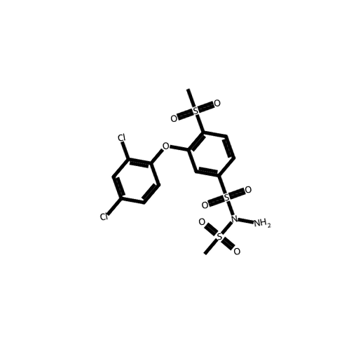 CS(=O)(=O)c1ccc(S(=O)(=O)N(N)S(C)(=O)=O)cc1Oc1ccc(Cl)cc1Cl